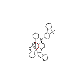 CC1(C)c2ccccc2-c2cc(N(c3ccc4c(c3)C3(c5ccccc5Oc5ccccc53)c3ccc5ccccc5c3-4)c3ccccc3-c3ccccc3)ccc21